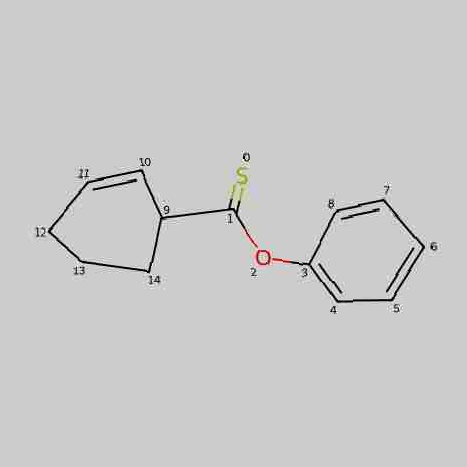 S=C(Oc1ccccc1)C1C=CCCC1